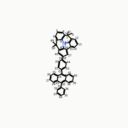 CC1(C)c2cccc3c2-n2c4c1cccc4c1cc(-c4ccc(-c5c6ccccc6c(-c6ccccc6)c6ccccc56)cc4)cc(c12)C3(C)C